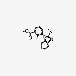 COC(=O)c1cccc(-n2c(SC)nc3ccccc32)c1C